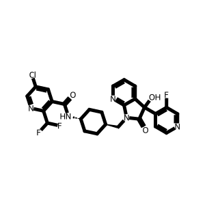 O=C(N[C@H]1CC[C@H](CN2C(=O)C(O)(c3ccncc3F)c3cccnc32)CC1)c1cc(Cl)cnc1C(F)F